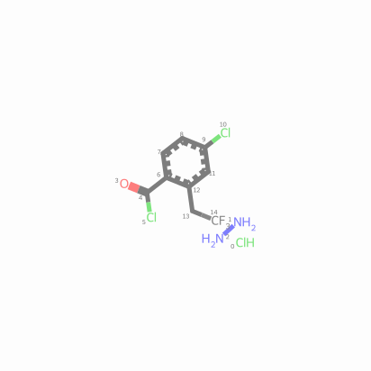 Cl.NN.O=C(Cl)c1ccc(Cl)cc1CC(F)(F)F